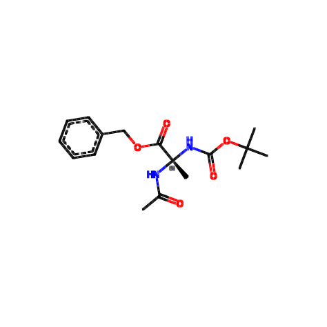 CC(=O)N[C@@](C)(NC(=O)OC(C)(C)C)C(=O)OCc1ccccc1